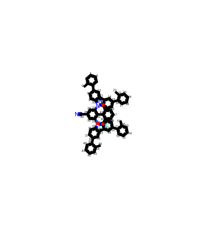 Cc1ccccc1-c1ccc2c(c1)c1cc(-c3ccccc3C)ccc1n2-c1cc(C#N)cc(-n2c3ccc(-c4ccccc4C)cc3c3cc(-c4ccccc4C)ccc32)c1-c1c(C#N)cccc1C(F)(F)F